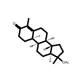 CC(=O)OC1(C)CC[C@H]2[C@@H]3CCC4=C(C)C(=O)CC[C@]4(C)[C@@H]3CC[C@@]21C